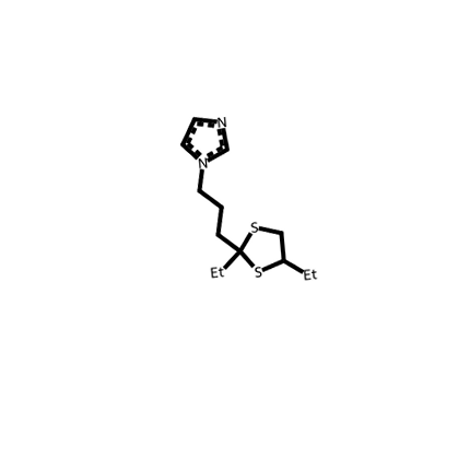 CCC1CSC(CC)(CCCn2ccnc2)S1